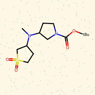 CN(C1CCN(C(=O)OC(C)(C)C)C1)C1CCS(=O)(=O)C1